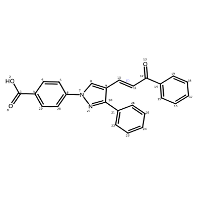 O=C(O)c1ccc(-n2cc(/C=C/C(=O)c3ccccc3)c(-c3ccccc3)n2)cc1